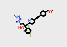 C=N/N=N\N(C)CCC(O)(c1ccc(F)cc1F)C(F)(F)c1ccc(C#CC2C=CC(COC)=CC2)cn1